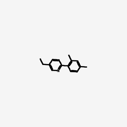 CCc1ccc(-c2ccc(C)cc2C)nc1